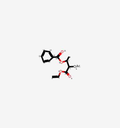 C=COC(=O)C(OC(C)=O)C(C)OC(=O)c1ccccc1